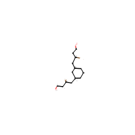 OCCC(S)CC1CCCC(CC(S)CCO)C1